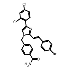 NC(=O)c1ccc(Cn2cc(-c3ccc(Cl)cc3Cl)nc2C=Cc2ccc(Br)cc2)cc1